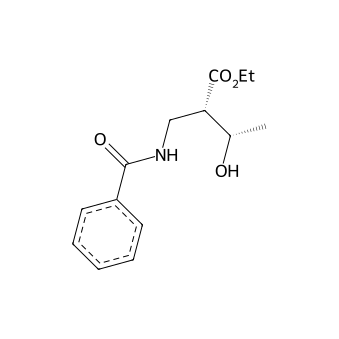 CCOC(=O)[C@@H](CNC(=O)c1ccccc1)[C@H](C)O